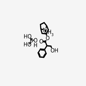 CN1C2CCC1CC(OC(=O)C(CO)c1ccccc1)C2.OB(O)O